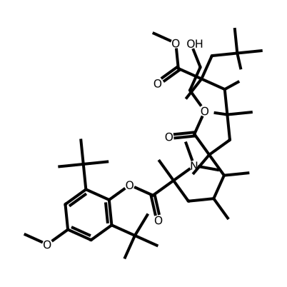 COC(=O)C(C)(CC(C)(C)C)C(C)C(C)(C)CC(C)(C(=O)OCCO)C(C)C(C)CC(C)(C(=O)Oc1c(C(C)(C)C)cc(OC)cc1C(C)(C)C)N(C)C